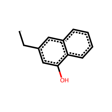 [CH2]Cc1cc(O)c2ccccc2c1